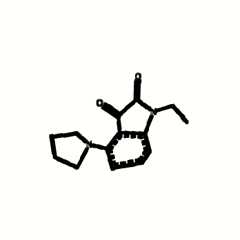 CCN1C(=O)C(=O)c2c(N3CCCC3)cccc21